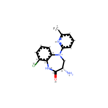 N[C@H]1CN(c2cccc(C(F)(F)F)n2)c2cccc(Cl)c2NC1=O